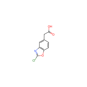 O=C(O)Cc1ccc2oc(Cl)nc2c1